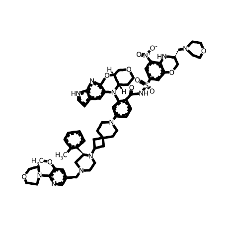 COc1cc(CN2CCN(C3CC4(CCN(c5ccc(C(=O)NS(=O)(=O)c6cc7c(c([N+](=O)[O-])c6)N[C@H](CN6CCOCC6)CO7)c(N6c7cc8cc[nH]c8nc7O[C@H]7COCC[C@@H]76)c5)CC4)C3)[C@H](c3ccccc3C)C2)cnc1N1CCOCC1